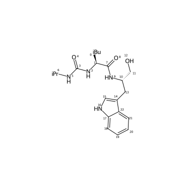 CCC(C)[C@H](NC(=O)NC(C)C)C(=O)N[C@H](CO)Cc1c[nH]c2ccccc12